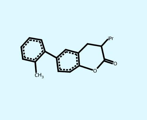 Cc1ccccc1-c1ccc2c(c1)CC(C(C)C)C(=O)O2